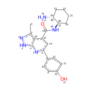 Cc1n[nH]c2nc(-c3ccc(O)cc3)cc(C(=O)N[C@@H]3CCCC[C@H]3N)c12